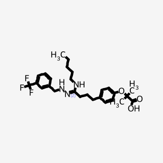 CCCCCN/C(CCCc1ccc(OC(C)(C)C(=O)O)cc1)=N\NCc1cccc(C(F)(F)F)c1